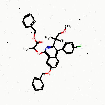 COCC(C)(C)c1nc(OC(C)C(=O)OCc2ccccc2)c2cc(OCc3ccccc3)ccc2c1-c1ccc(F)cc1